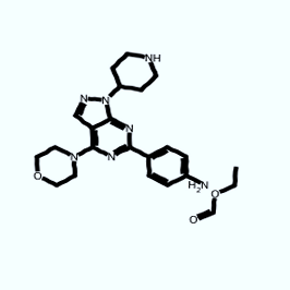 CCOC=O.Nc1ccc(-c2nc(N3CCOCC3)c3cnn(C4CCNCC4)c3n2)cc1